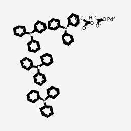 CC(=O)[O-].CC(=O)[O-].[Pd+2].c1ccc(P(c2ccccc2)c2ccccc2)cc1.c1ccc(P(c2ccccc2)c2ccccc2)cc1.c1ccc(P(c2ccccc2)c2ccccc2)cc1.c1ccc(P(c2ccccc2)c2ccccc2)cc1